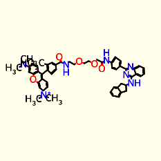 CN(C)c1ccc2c(-c3ccc(C(=O)NCCOCCOCC(=O)Nc4ccc(-c5nc(NC6Cc7ccccc7C6)c6ccccc6n5)cc4)cc3C(=O)O)c3ccc(=[N+](C)C)cc-3oc2c1